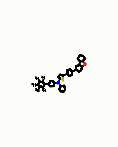 [2H]c1c([2H])c([2H])c(-c2ccc(N(c3ccccc3)c3ccc(-c4ccc(-c5ccc6oc7ccccc7c6c5)cc4)s3)cc2)c([2H])c1[2H]